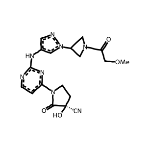 COCC(=O)N1CC(n2cc(Nc3nccc(N4CC[C@](O)(C#N)C4=O)n3)cn2)C1